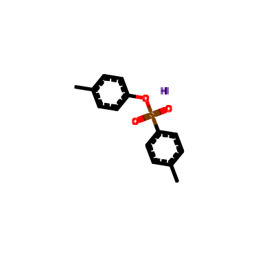 Cc1ccc(OS(=O)(=O)c2ccc(C)cc2)cc1.I